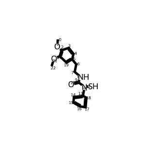 COc1ccc(CCNC(=O)N(S)c2cc[c]cc2)cc1OC